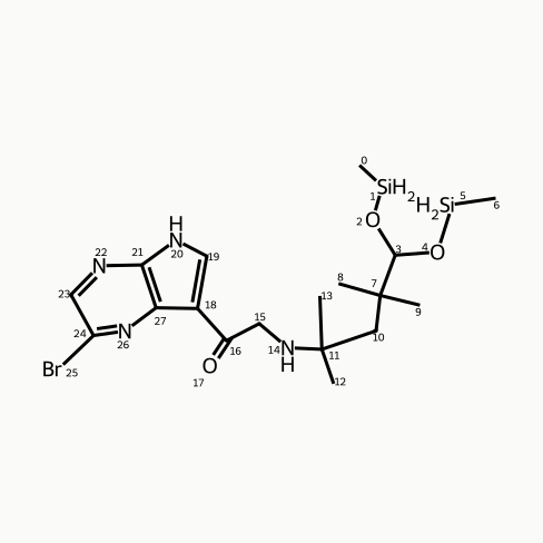 C[SiH2]OC(O[SiH2]C)C(C)(C)CC(C)(C)NCC(=O)c1c[nH]c2ncc(Br)nc12